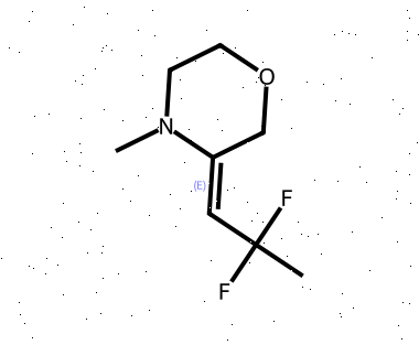 CN1CCOC/C1=C\C(C)(F)F